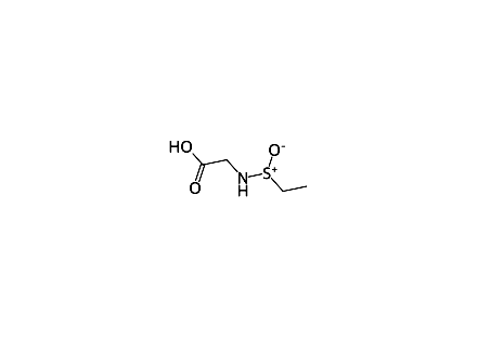 CC[S+]([O-])NCC(=O)O